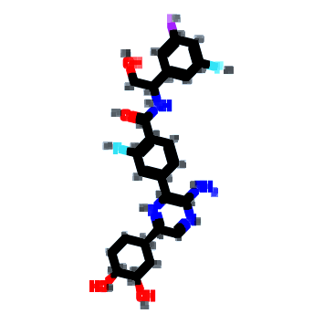 Nc1ncc([C@@H]2CC[C@H](O)[C@H](O)C2)nc1-c1ccc(C(=O)NC(CO)c2cc(F)cc(I)c2)c(F)c1